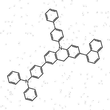 c1ccc(-c2ccc(N3c4ccc(-c5ccc(N(c6ccccc6)c6ccccc6)cc5)cc4Cc4cc(-c5cccc6ccccc56)ccc43)cc2)cc1